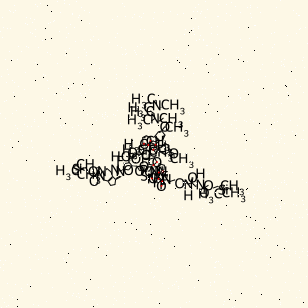 CCN(CC)CC.CCN(CC)CC.COc1ccc(C(OC[C@H]2O[C@@H](n3cnc4c(=O)n(CCOCNC(=O)CNC(=O)OCC[Si](C)(C)C)cnc43)[C@H](O[P@](=S)(OC[C@@H]3CCCN3C(=O)C(F)(F)F)OC[C@H]3O[C@@H](N4C=C5CCC6=C5C(=N4)C=NN(C(=O)OCC[Si](C)(C)C)C6)[C@@H](F)[C@@H]3P(=O)(O)O)[C@@H]2O[Si](C)(C)C(C)(C)C)(c2ccccc2)c2ccc(OC)cc2)cc1